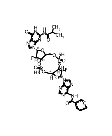 CC(C)C(=O)Nc1nc2c(ncn2[C@@H]2OC3CO[P@@](=O)(S)O[C@H]4[C@@H](F)[C@H](n5cnc6c(NC(=O)c7ccccc7)ncnc65)O[C@@H]4CO[P@@](=O)(S)O[C@H]3[C@H]2F)c(=O)[nH]1